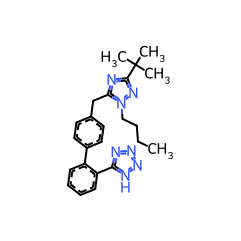 CCCCn1nc(C(C)(C)C)nc1Cc1ccc(-c2ccccc2-c2nnn[nH]2)cc1